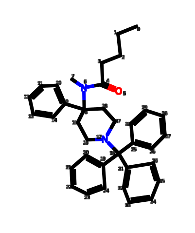 CCCCC(=O)N(C)C1(c2ccccc2)CCN(C(c2ccccc2)(c2ccccc2)c2ccccc2)CC1